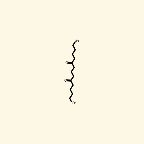 CC(C)CCCCC(=O)CCCC(=O)CCCCC(C)C